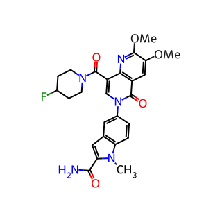 COc1cc2c(=O)n(-c3ccc4c(c3)cc(C(N)=O)n4C)cc(C(=O)N3CCC(F)CC3)c2nc1OC